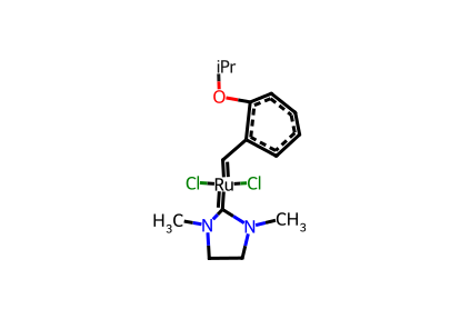 CC(C)Oc1ccccc1[CH]=[Ru]([Cl])([Cl])=[C]1N(C)CCN1C